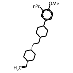 C=C[C@H]1CC[C@H](CCC2CCC(c3ccc(OC)c(CCC)c3)CC2)CC1